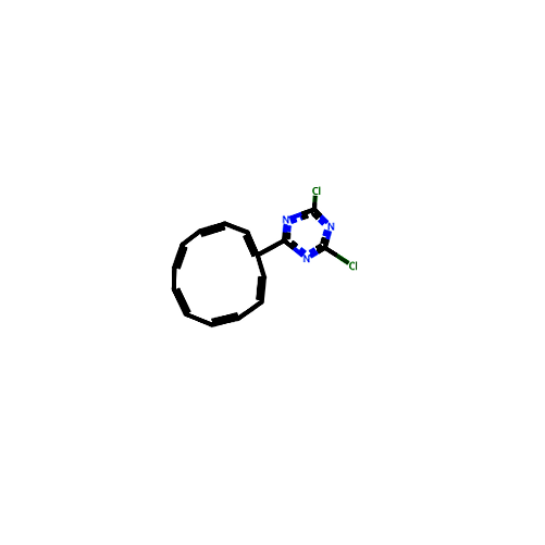 Clc1nc(Cl)nc(C2=C/C=C\C=C/C=C\C=C/C=C\2)n1